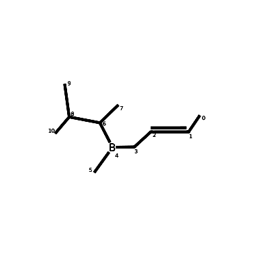 CC=CCB(C)C(C)C(C)C